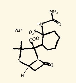 CC1(C)S[C@@H]2CC(=O)N2[C@@]1(C(=O)[O-])C1CCCCC1(NC(N)=O)[N+](=O)[O-].[Na+]